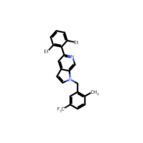 CCc1cccc(CC)c1-c1cc2ccn(Cc3cc(C(F)(F)F)ccc3C)c2cn1